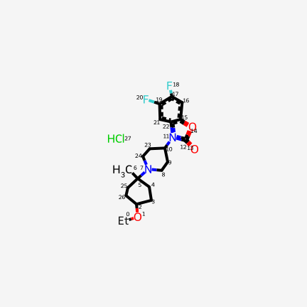 CCOC1CCC(C)(N2CCC(n3c(=O)oc4cc(F)c(F)cc43)CC2)CC1.Cl